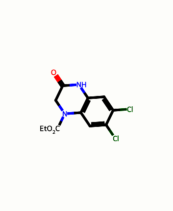 CCOC(=O)N1CC(=O)Nc2cc(Cl)c(Cl)cc21